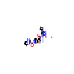 Cn1nc(C2CCC2)cc1NC(=O)c1csc2c1CCN(C(=O)c1cnc3ccccn13)C2